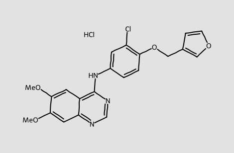 COc1cc2ncnc(Nc3ccc(OCc4ccoc4)c(Cl)c3)c2cc1OC.Cl